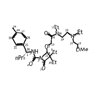 CCC[C@@H](NC(=O)N1C(=O)C(CC)(CC)C1OCC(=O)N(CC)CCN(CC)CCOC)c1ccc(C)cc1